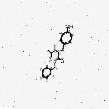 CC(=O)N[C@@H](Cc1ccc(O)cc1)C(=O)OCc1ccccc1